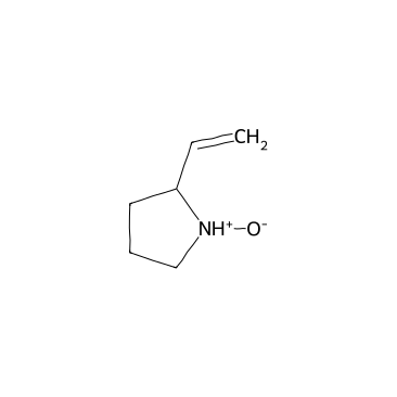 C=CC1CCC[NH+]1[O-]